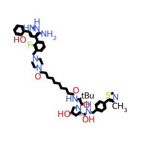 Cc1ncsc1-c1ccc(CNC(O)[C@@H]2C[C@@H](O)CN2C(=O)[C@@H](NC(=O)CCCCCCCCC(=O)N2CCN(Cc3cccc(C4=C(N)NNC(c5ccccc5O)=C4)c3F)CC2)C(C)(C)C)cc1